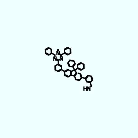 C=N/C(=N\C(=N/Cc1ccccc1)c1cccc(-c2ccc3c(c2)C(c2ccccc2)(c2ccccc2)C=C3/C=C\C(=C/C)c2cccc(C=N)c2)c1)c1ccccc1